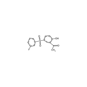 CC(=O)c1cc(S(=O)(=O)c2cccc(F)c2)ccc1O